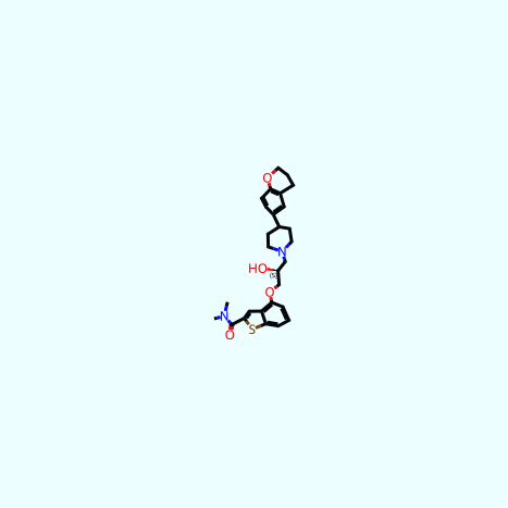 CN(C)C(=O)c1cc2c(OC[C@@H](O)CN3CCC(c4ccc5c(c4)CCCO5)CC3)cccc2s1